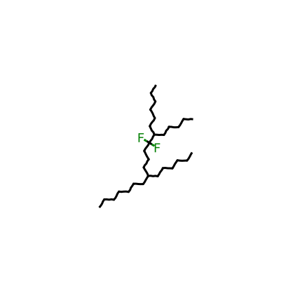 CCCCCCCC(CCCCCC)CCCC(F)(F)C(CCCCC)CCCCCC